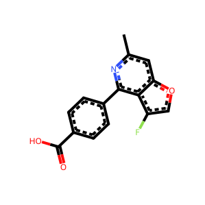 Cc1cc2occ(F)c2c(-c2ccc(C(=O)O)cc2)n1